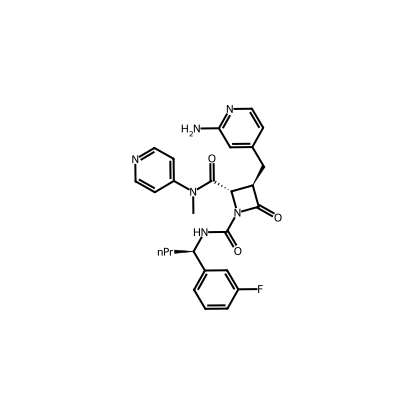 CCC[C@@H](NC(=O)N1C(=O)[C@H](Cc2ccnc(N)c2)[C@H]1C(=O)N(C)c1ccncc1)c1cccc(F)c1